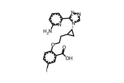 Nc1cccc(-c2nncn2[C@@H]2CC2CCOc2ccc(I)cc2C(=O)O)n1